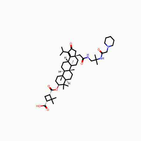 CC(C)C1=C2[C@H]3CC[C@@H]4[C@@]5(C)CC[C@H](OC(=O)[C@H]6C[C@@H](C(=O)O)C6(C)C)C(C)(C)[C@@H]5CC[C@@]4(C)[C@]3(C)CC[C@@]2(CC(=O)NCC(C)(C)NC(=O)CN2CCCCC2)CC1=O